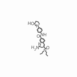 CCCN(CCC)C(=O)C1=Cc2ccc(C(=O)Nc3ccc(N4CCCC(O)C4)cc3)cc2N=C(N)C1